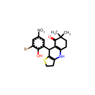 CC1(C)CCC2=C(C1=O)C(c1cc([N+](=O)[O-])cc(Br)c1O)C1=C(CCS1)N2